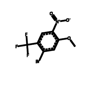 COc1cc(Br)c(C(F)(F)F)cc1[N+](=O)[O-]